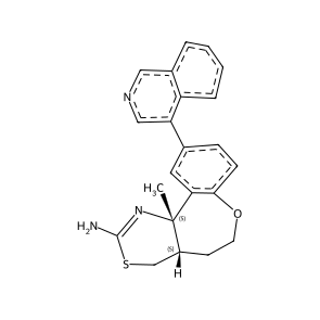 C[C@]12N=C(N)SC[C@H]1CCOc1ccc(-c3cncc4ccccc34)cc12